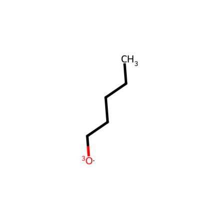 CCCCC[3O]